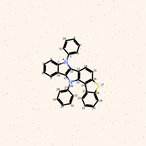 c1ccc(-n2c3ccccc3c3c2c2ccc4sc5ccccc5c4c2n3-c2ccccc2)cc1